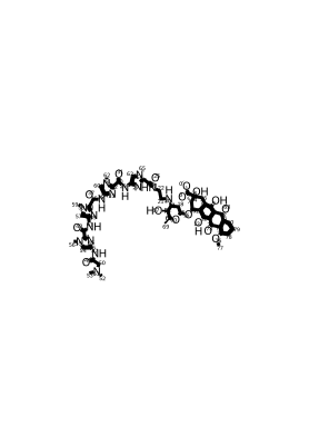 COC(=O)[C@]1(O)Cc2c(O)c3c(c(O)c2[C@@H](OC2C[C@H](NCCNC(=O)c4nc(NC(=O)c5nc(NC(=O)c6nc(NC(=O)c7nc(NC(=O)CN(C)C)cn7C)cn6C)cn5C)cn4C)[C@H](O)[C@H](C)O2)C1)C(=O)c1c(OC)cccc1C3=O